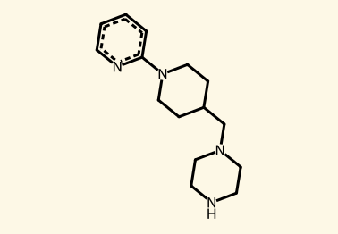 c1ccc(N2CCC(CN3CCNCC3)CC2)nc1